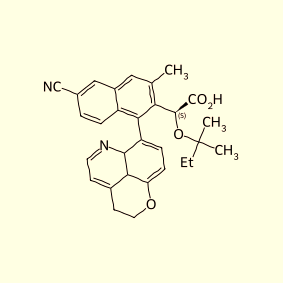 CCC(C)(C)O[C@H](C(=O)O)c1c(C)cc2cc(C#N)ccc2c1C1=CC=C2OCCC3=CC=NC1C32